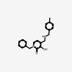 Cc1ccc(CNCc2ccn(Cc3ccccc3)c(=O)c2O)cc1